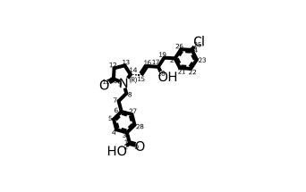 O=C(O)c1ccc(CCN2C(=O)CC[C@@H]2C=CC(O)Cc2cccc(Cl)c2)cc1